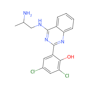 CC(N)CNc1nc(-c2cc(Cl)cc(Cl)c2O)nc2ccccc12